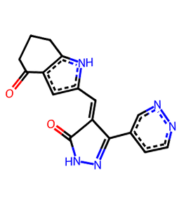 O=C1NN=C(c2ccnnc2)C1=Cc1cc2c([nH]1)CCCC2=O